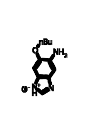 CCCCOc1cc2c(cc1N)N=C[NH+]2[O-]